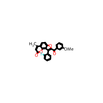 COc1cccc(C(=O)c2oc3ccc4c(C)cc(=O)oc4c3c2-c2ccccc2F)c1